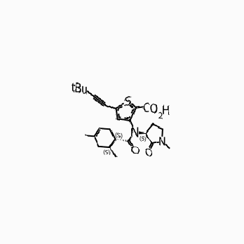 CC1=CC[C@H](C(=O)N(c2cc(C#CC(C)(C)C)sc2C(=O)O)[C@H]2CCN(C)C2=O)[C@@H](C)C1